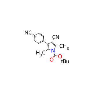 Cc1c(C#N)c(-c2ccc(C#N)cc2)c(C)n1C(=O)OC(C)(C)C